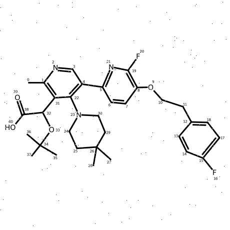 Cc1ncc(-c2ccc(OCCc3ccc(F)cc3)c(F)n2)c(N2CCC(C)(C)CC2)c1C(OC(C)(C)C)C(=O)O